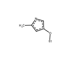 CCOn1cnc(C)c1